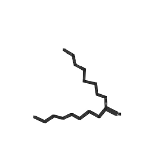 [CH]=C(CCCCCCCC)CCCCCCCC